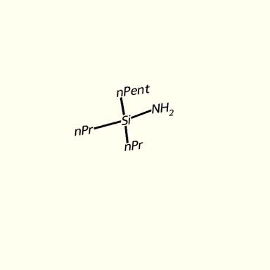 CCCCC[Si](N)(CCC)CCC